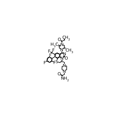 C=CC(=O)N1C[C@H](C)N(c2nc(=O)n3c4c(c(-c5ccc(F)cc5F)c(C(F)(F)F)cc24)SC[C@@H]3CN2CCN(CC(N)=O)CC2)C[C@H]1C